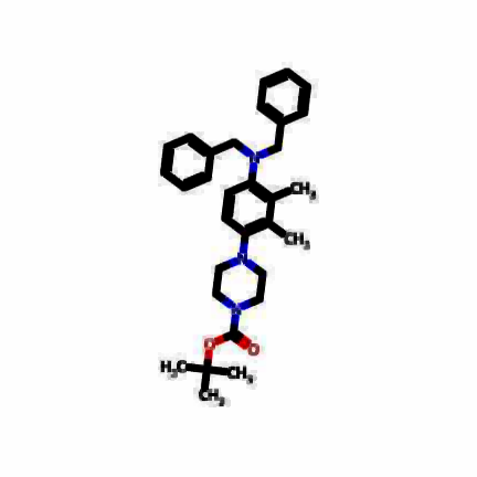 Cc1c(N2CCN(C(=O)OC(C)(C)C)CC2)ccc(N(Cc2ccccc2)Cc2ccccc2)c1C